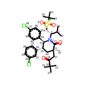 CC(C)[C@@H](CS(=O)(=O)C(C)(C)C)N1C(=O)[C@@](C)(CC(=O)C(C)(C)C)C[C@H](c2cccc(Cl)c2)[C@H]1c1ccc(Cl)cc1